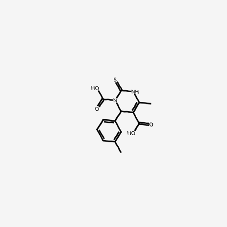 CC1=C(C(=O)O)C(c2cccc(C)c2)N(C(=O)O)C(=S)N1